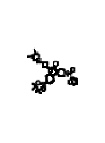 C[C@@H]1CN(C2CC(N3C(=O)C4(CCN(C(=O)[C@@H]5CCCO5)CC4)c4ccc(B5OC(C)(C)C(C)(C)O5)cc43)C2)C[C@@H]1C